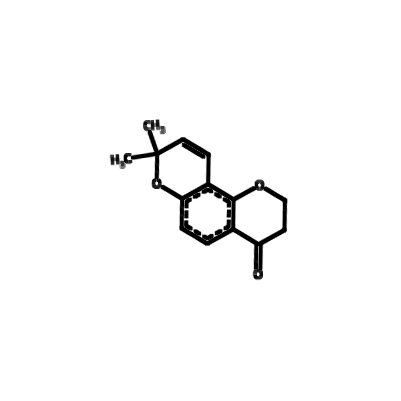 CC1(C)C=Cc2c(ccc3c2OCCC3=O)O1